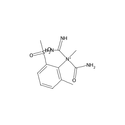 Cc1cccc(S(C)(=O)=O)c1[N+](C)(C(=N)N)C(N)=O